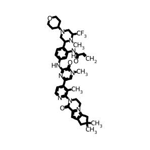 C=CC(=O)Nc1cc(Nc2nc(-c3ccnc(N4CCn5c(cc6c5CC(C)(C)C6)C4=O)c3C)cn(C)c2=O)ccc1C1CN(C2CCOCC2)CC(C(F)(F)F)N1C